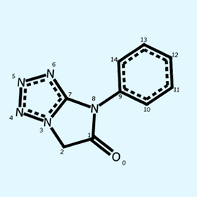 O=C1Cn2nnnc2N1c1ccccc1